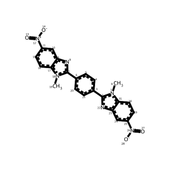 Cn1c(-c2ccc(-c3nc4cc([N+](=O)[O-])ccc4n3C)cc2)nc2cc([N+](=O)[O-])ccc21